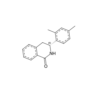 Cc1ccc([C@H]2Cc3ccccc3C(=O)N2)c(C)c1